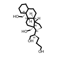 OCCC[C@@H](CO)[C@H]1CC[C@H]2[C@@H]3CCC4CCCC[C@]4(CO)[C@H]3CC[C@]12CO